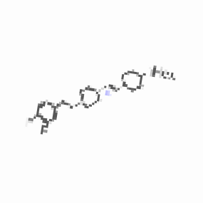 CCCCCC[C@H]1CC[C@H](/C=C/[C@H]2CC[C@H](CCc3ccc(F)c(F)c3)CC2)CC1